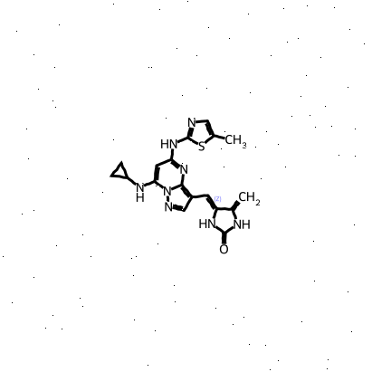 C=c1[nH]c(=O)[nH]/c1=C\c1cnn2c(NC3CC3)cc(Nc3ncc(C)s3)nc12